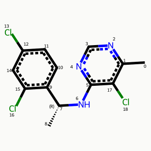 Cc1ncnc(N[C@H](C)c2ccc(Cl)cc2Cl)c1Cl